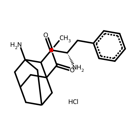 COC(=O)C12CC3CC(CC(N)(C3)C1C(=O)[C@@H](N)Cc1ccccc1)C2.Cl